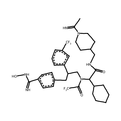 CC(=N)N1CCC(CNC(=O)C(C2CCCCC2)N(CC(Cc2ccc(C(=N)NO)cc2)c2cccc(C(F)(F)F)c2)C(=O)C(F)(F)F)CC1